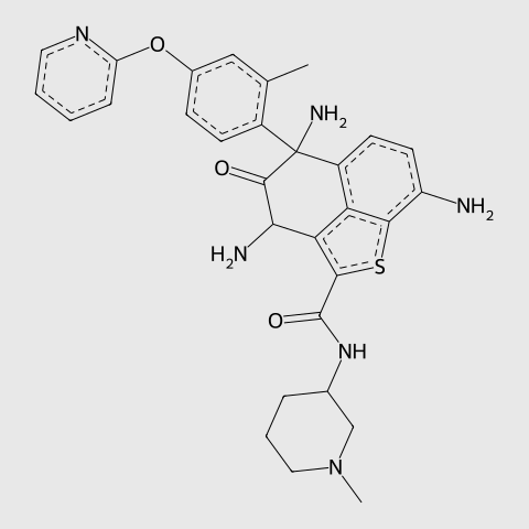 Cc1cc(Oc2ccccn2)ccc1C1(N)C(=O)C(N)c2c(C(=O)NC3CCCN(C)C3)sc3c(N)ccc1c23